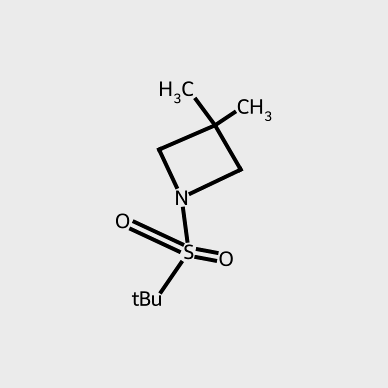 CC1(C)CN(S(=O)(=O)C(C)(C)C)C1